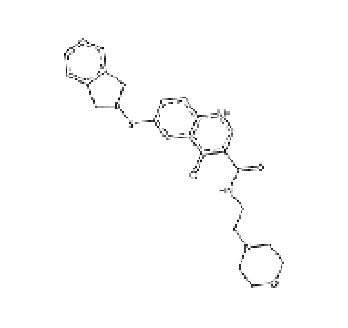 O=C(NCCN1CCOCC1)c1c[nH]c2ccc(SB3Cc4ccccc4C3)cc2c1=O